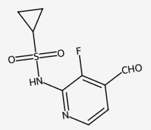 O=Cc1ccnc(NS(=O)(=O)C2CC2)c1F